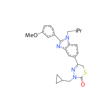 COc1cccc(-c2nc3cc(C4=NN(CC5CC5)C(=O)SC4)ccc3n2CC(C)C)c1